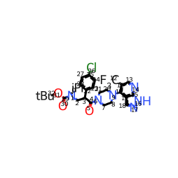 CC(C)N(CC(C(=O)N1CCN(c2c(C(F)(F)F)cnc3[nH]ncc23)CC1)c1ccc(Cl)cc1)C(=O)OC(C)(C)C